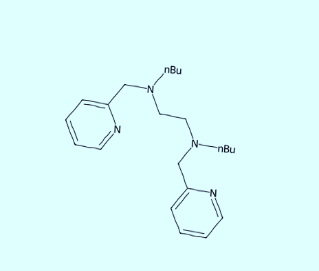 CCCCN(CCN(CCCC)Cc1ccccn1)Cc1ccccn1